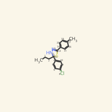 CCCC1(c2ccc(Cl)cc2)NN=C(c2ccc(C)cc2)S1